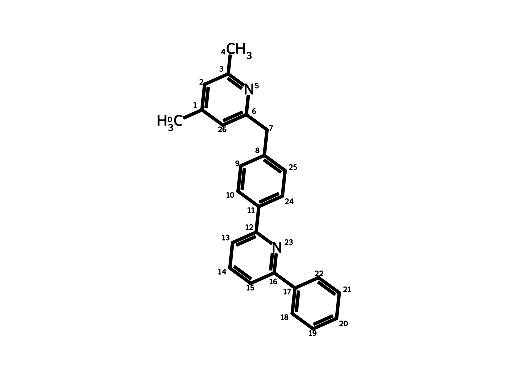 Cc1cc(C)nc(Cc2ccc(-c3cccc(-c4ccccc4)n3)cc2)c1